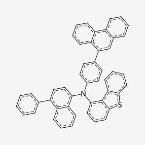 c1ccc(-c2ccc(N(c3ccc(-c4cc5ccccc5c5ccccc45)cc3)c3cccc4sc5ccccc5c34)c3ccccc23)cc1